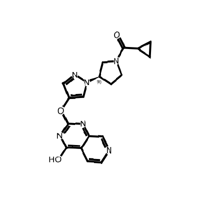 O=C(C1CC1)N1CC[C@@H](n2cc(Oc3nc(O)c4ccncc4n3)cn2)C1